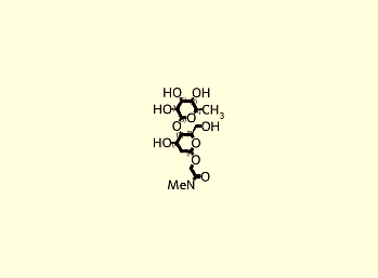 CNC(=O)CO[C@H]1C[C@@H](O)[C@H](O[C@@H]2O[C@H](C)[C@H](O)[C@H](O)[C@H]2O)[C@@H](CO)O1